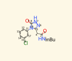 CCCCNC(=O)Cc1n[nH]c(=O)n1-c1cccc(Cl)c1